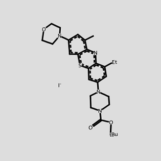 CCc1cc(N2CCN(C(=O)OC(C)(C)C)CC2)cc2[s+]c3cc(N4CCOCC4)cc(C)c3nc12.[I-]